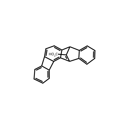 O=C(O)C1=C2c3ccccc3C1c1ccc3c(c12)-c1ccccc1-3